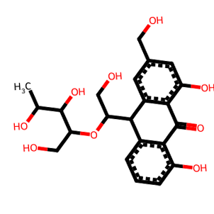 CC(O)C(O)C(CO)OC(CO)C1c2cccc(O)c2C(=O)c2c(O)cc(CO)cc21